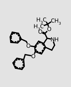 CC(C)(C)OC(=O)C1NCCc2cc(OCc3ccccc3)c(OCc3ccccc3)cc21